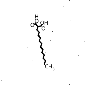 CCCCCCC=CCCCCCCC(C(=O)O)C(=O)O